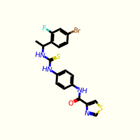 CC(NC(=S)Nc1ccc(NC(=O)c2cscn2)cc1)c1ccc(Br)cc1F